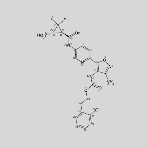 Cc1noc(-c2ccc(NC(=O)[C@H]3[C@H](C(=O)O)C3(F)F)cn2)c1NC(=O)OCCc1ccccc1Cl